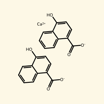 O=C([O-])c1ccc(O)c2ccccc12.O=C([O-])c1ccc(O)c2ccccc12.[Ca+2]